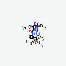 Cc1c(C(=O)Nc2cccc3c2[C@@H](C)CC3(C)C)nn(C)c1I